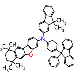 CC1(C)CCC(C)(C)c2cc3c(cc21)oc1cc(N(C2=CC=C(C4(c5ccccc5)c5ccccc5-c5ccccc54)CC2)c2ccc4c(c2)C(C)(C)c2ccccc2-4)ccc13